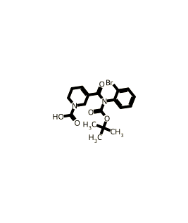 CC(C)(C)OC(=O)N(C(=O)C1=CCCN(C(=O)O)C1)c1ccccc1Br